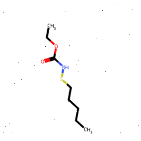 CCCCCSNC(=O)OCC